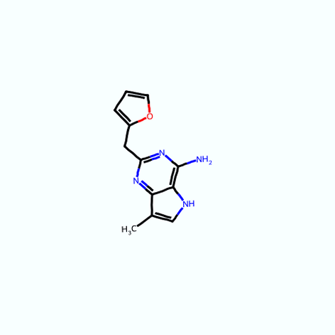 Cc1c[nH]c2c(N)nc(Cc3ccco3)nc12